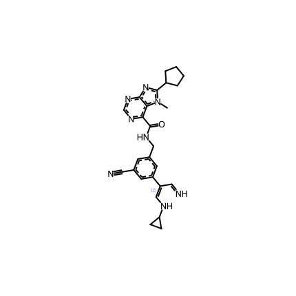 Cn1c(C2CCCC2)nc2ncnc(C(=O)NCc3cc(C#N)cc(/C(C=N)=C/NC4CC4)c3)c21